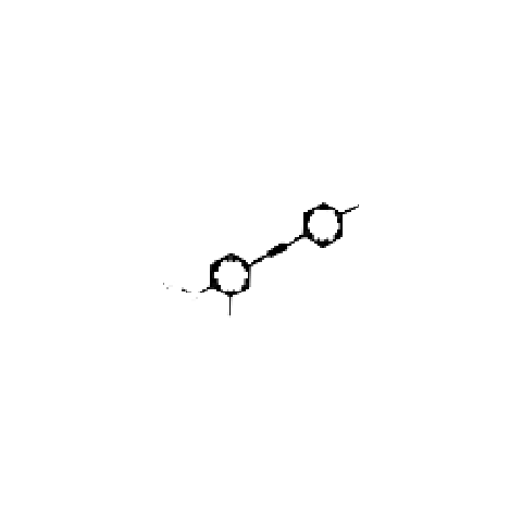 Cc1ccc(C#Cc2ccc(SC#N)c(C)c2)cc1